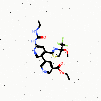 CCNC(=O)Nc1cc(C2=NC(OC)(C(F)(F)F)CS2)c(-c2cncc(C(=O)OCC)c2)cn1